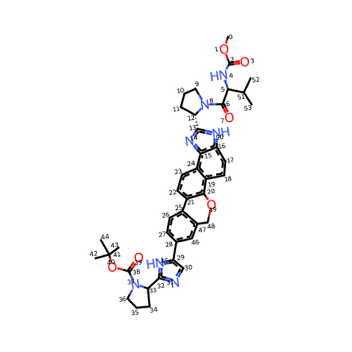 COC(=O)N[C@H](C(=O)N1CCC[C@H]1c1nc2c(ccc3c4c(ccc32)-c2ccc(-c3cnc(C5CCCN5C(=O)OC(C)(C)C)[nH]3)cc2CO4)[nH]1)C(C)C